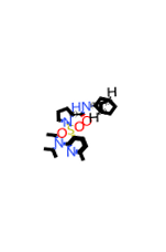 CCN(c1nc(C)ccc1S(=O)(=O)N1CCC[C@H]1C(=O)N[C@@H]1C[C@H]2CC[C@@H]1C2)C(C)C